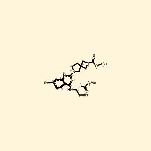 CNC(=O)C[C@H](CC(C)C)Nc1nc(N2CCC3(CN(C(=O)OC(C)(C)C)C3)C2)nc2cc(C(C)C)ccc12